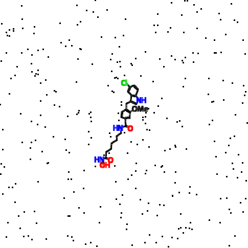 COc1cc(C(=O)NCCCCCCC(=O)NO)ccc1Cc1c[nH]c2ccc(Cl)cc12